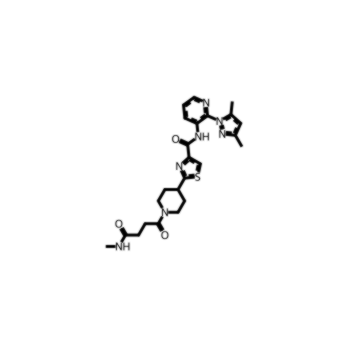 CNC(=O)CCC(=O)N1CCC(c2nc(C(=O)Nc3cccnc3-n3nc(C)cc3C)cs2)CC1